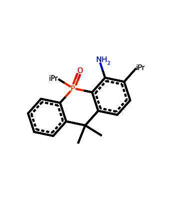 CC(C)c1ccc2c(c1N)P(=O)(C(C)C)c1ccccc1C2(C)C